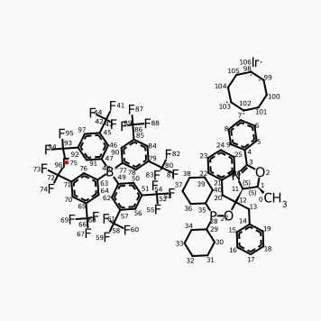 C[C@@H]1OC(c2ccccc2)=N[C@@H]1C(Cc1ccccc1)(Cc1ccccc1)OP(C1CCCCC1)C1CCCCC1.FC(F)(F)c1cc([B-](c2cc(C(F)(F)F)cc(C(F)(F)F)c2)(c2cc(C(F)(F)F)cc(C(F)(F)F)c2)c2cc(C(F)(F)F)cc(C(F)(F)F)c2)cc(C(F)(F)F)c1.[CH]1[CH]CC[CH][CH]CC1.[Ir]